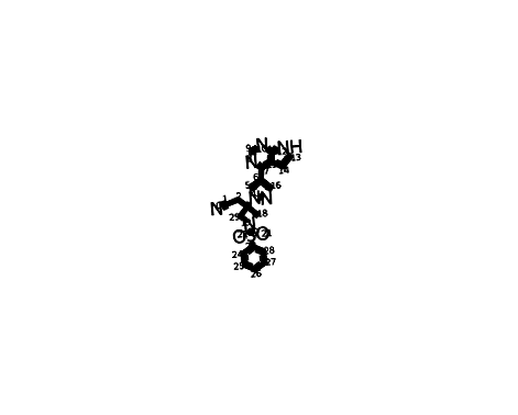 N#CCC1(n2cc(-c3ncnc4[nH]ccc34)cn2)CN(S(=O)(=O)c2ccccc2)C1